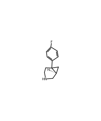 Fc1ccc(C23CCNC[C@@H]2C3)cc1